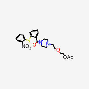 CC(=O)OCCOCCN1CCN(C(=O)c2ccccc2Sc2ccccc2[N+](=O)[O-])CC1